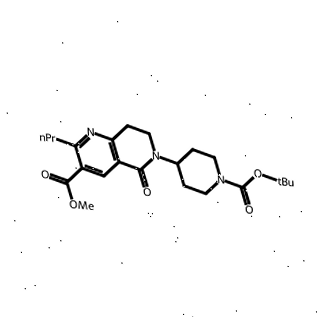 CCCc1nc2c(cc1C(=O)OC)C(=O)N(C1CCN(C(=O)OC(C)(C)C)CC1)CC2